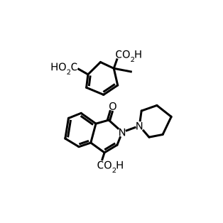 CC1(C(=O)O)C=CC=C(C(=O)O)C1.O=C(O)c1cn(N2CCCCC2)c(=O)c2ccccc12